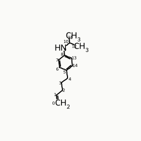 C=CCCCc1ccc(NC(C)C)cc1